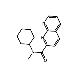 CN(C(=O)c1ccc2cccnc2n1)C1CCCCC1